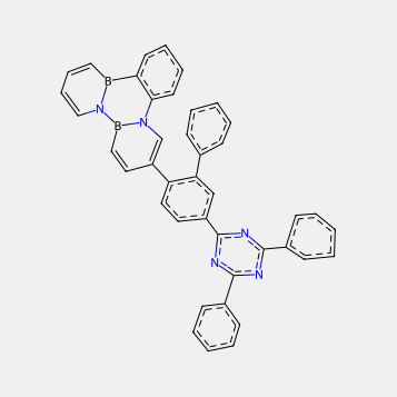 C1=CB2c3ccccc3N3C=C(c4ccc(-c5nc(-c6ccccc6)nc(-c6ccccc6)n5)cc4-c4ccccc4)C=CB3N2C=C1